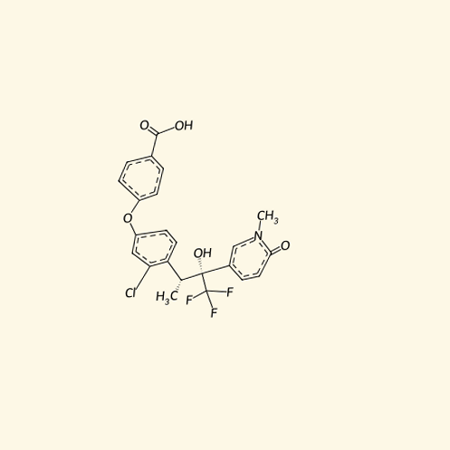 C[C@H](c1ccc(Oc2ccc(C(=O)O)cc2)cc1Cl)[C@@](O)(c1ccc(=O)n(C)c1)C(F)(F)F